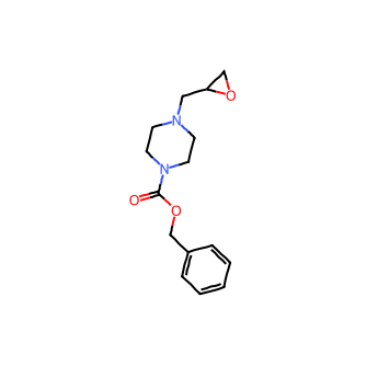 O=C(OCc1ccccc1)N1CCN(CC2CO2)CC1